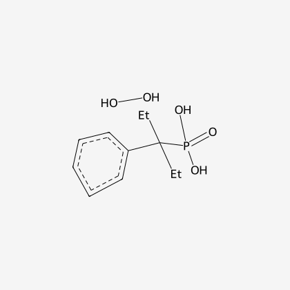 CCC(CC)(c1ccccc1)P(=O)(O)O.OO